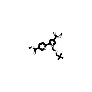 COC(=O)c1ccc(-c2cc(C(=O)OC)cn2COCC(C)(C)C)nc1